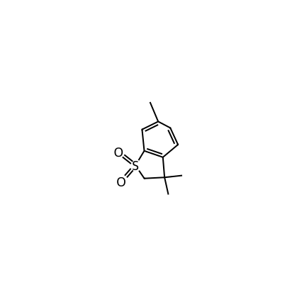 Cc1ccc2c(c1)S(=O)(=O)CC2(C)C